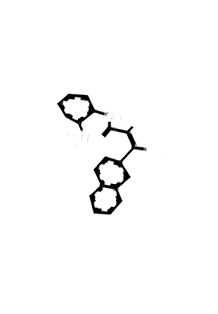 CC(C(=O)Nc1ccccc1C(=O)O)=C(C)c1ccc2ccccc2c1